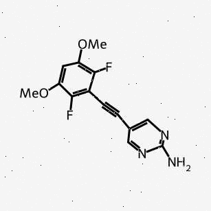 COc1cc(OC)c(F)c(C#Cc2cnc(N)nc2)c1F